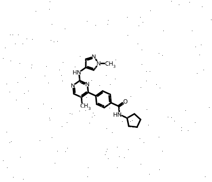 Cc1cnc(Nc2cnn(C)c2)nc1-c1ccc(C(=O)NC2CCCC2)cc1